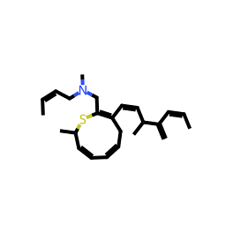 C=C(/C=C\C)C(C)/C=C\C1=C(/CN(C)C/C=C\C)SC(C)/C=C\C=C/C1